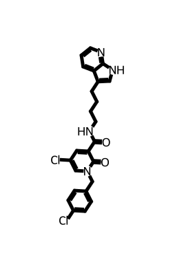 O=C(NCCCCc1c[nH]c2ncccc12)c1cc(Cl)cn(Cc2ccc(Cl)cc2)c1=O